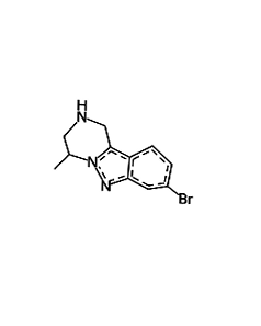 CC1CNCc2c3ccc(Br)cc3nn21